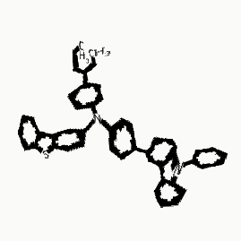 C/C=C\C(=C/C)c1ccc(N(c2ccc(-c3ccc4c(c3)c3ccccc3n4-c3ccccc3)cc2)c2ccc3sc4ccccc4c3c2)cc1